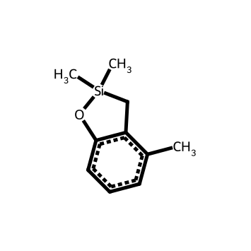 Cc1cccc2c1C[Si](C)(C)O2